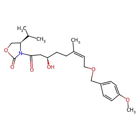 COc1ccc(COCC=C(C)CC[C@@H](O)CC(=O)N2C(=O)OC[C@H]2C(C)C)cc1